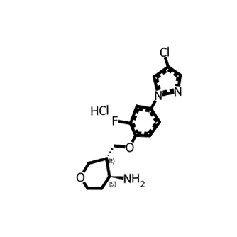 Cl.N[C@H]1CCOC[C@@H]1COc1ccc(-n2cc(Cl)cn2)cc1F